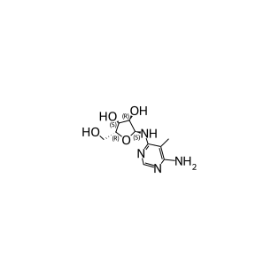 Cc1c(N)ncnc1N[C@H]1O[C@H](CO)[C@@H](O)[C@H]1O